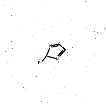 CCC1N=CC=N1